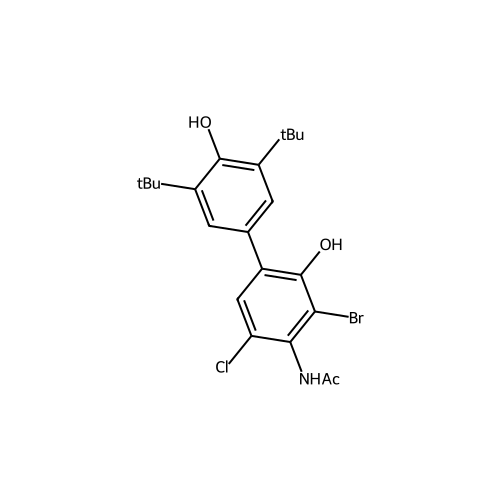 CC(=O)Nc1c(Cl)cc(-c2cc(C(C)(C)C)c(O)c(C(C)(C)C)c2)c(O)c1Br